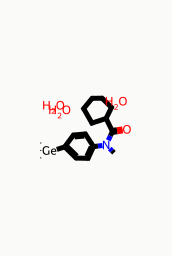 CN(C(=O)C1CCCCC1)c1cc[c]([Ge])cc1.O.O.O